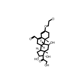 C[C@]12CCC(OCCCl)=CC1=C(C=O)C[C@H]1[C@@H]3C[C@@H](O)[C@](O)(C(=O)CO)[C@@]3(C)C[C@H](O)C12F